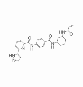 C=CC(=O)N[C@H]1CCC[C@@H](NC(=O)c2ccc(NC(=O)c3cccc(-c4ccn[nH]4)n3)cc2)C1